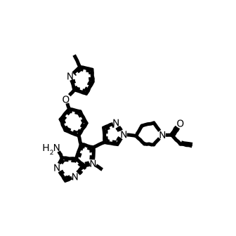 C=CC(=O)N1CCC(n2cc(-c3c(-c4ccc(Oc5cccc(C)n5)cc4)c4c(N)ncnc4n3C)cn2)CC1